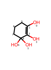 OC1=C(O)C(O)(O)CCC1